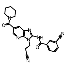 N#CCCn1c(NC(=O)c2cccc(C#N)c2)nc2cc(C(=O)N3CCCCC3)cnc21